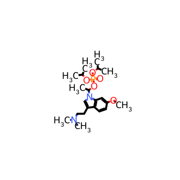 COc1ccc2c(CCN(C)C)cn(C(C)OP(=O)(OC(C)C)OC(C)C)c2c1